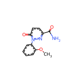 COc1ccccc1-n1nc(C(N)=O)ccc1=O